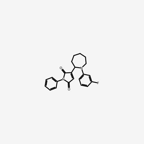 O=C1C=C(C2CCCCCN2c2cccc(F)c2)C(=O)N1c1ccccc1